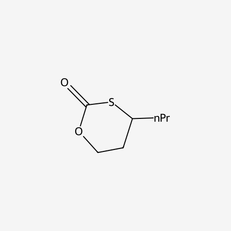 CCCC1CCOC(=O)S1